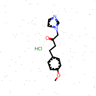 COc1ccc(CCC(=O)Cn2ccnc2)cc1.Cl